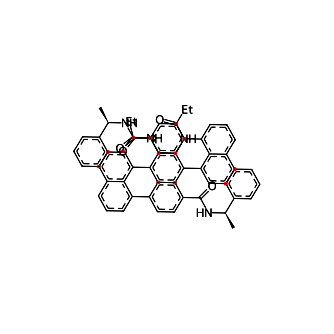 CCC(=O)Nc1c(-c2cccc3cccc(-c4ccc(C(=O)N[C@H](C)c5ccccc5)cc4)c23)ccc(-c2cccc3cccc(-c4ccc(C(=O)N[C@H](C)c5ccccc5)cc4)c23)c1NC(=O)CC